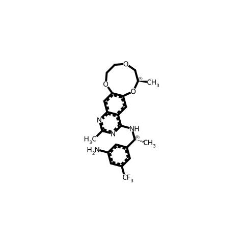 Cc1nc(N[C@H](C)c2cc(N)cc(C(F)(F)F)c2)c2cc3c(cc2n1)OCCOC[C@@H](C)O3